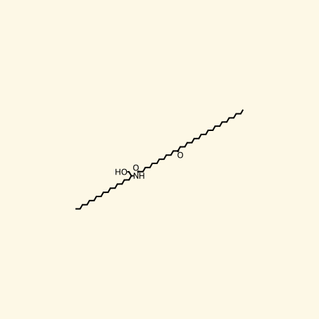 CCCCCCCCCCCCCCCCCCCC(=O)CCCCCCCCCCC(=O)NC(CO)CCCCCCCCCCCCCCCC